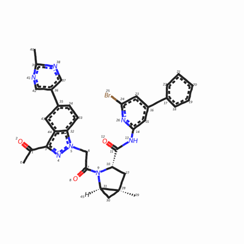 CC(=O)c1nn(CC(=O)N2[C@H](C(=O)Nc3cc(-c4ccccc4)cc(Br)n3)C[C@@]3(C)C[C@@H]23)c2ccc(-c3cnc(C)nc3)cc12